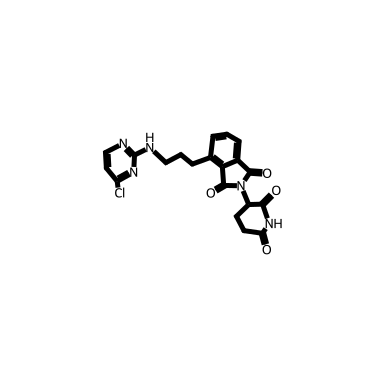 O=C1CCC(N2C(=O)c3cccc(CCCNc4nccc(Cl)n4)c3C2=O)C(=O)N1